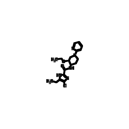 CCO[C@H]1CN(c2ccccn2)CCC1NC(=O)c1nc(Cl)c(CC)[nH]1